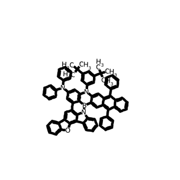 CC(C)(C)c1cc(N2c3cc4c(-c5ccccc5)c5ccccc5c(-c5ccccc5)c4cc3B3c4c(cc(N(c5ccccc5)c5ccccc5)cc42)-c2cc4c5ccccc5oc4c4c5ccccc5n3c24)cc(C(C)(C)C)c1